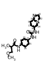 COCC(C)C(=O)Nc1ccc(NC(=O)Nc2ccc3nccn3c2)cc1